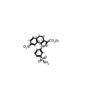 CCOC(=O)c1nn(-c2cccc(S(N)(=O)=O)c2)c2c1CCc1ccc([N+](=O)[O-])cc1-2